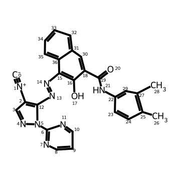 [C-]#[N+]c1cnn(-c2ncccn2)c1/N=N/c1c(O)c(C(=O)Nc2ccc(C)c(C)c2)cc2ccccc12